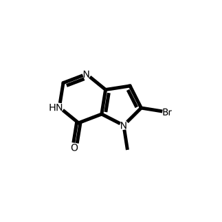 Cn1c(Br)cc2nc[nH]c(=O)c21